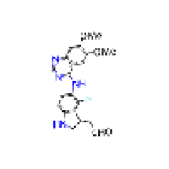 COc1cc2ncnc(Nc3ccc4c(c3F)C(CC=O)CN4)c2cc1OC